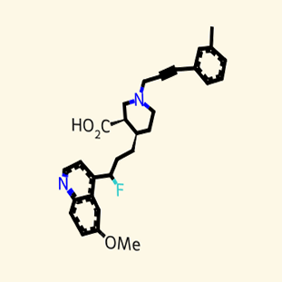 COc1ccc2nccc(C(F)CC[C@@H]3CCN(CC#Cc4cccc(C)c4)C[C@@H]3C(=O)O)c2c1